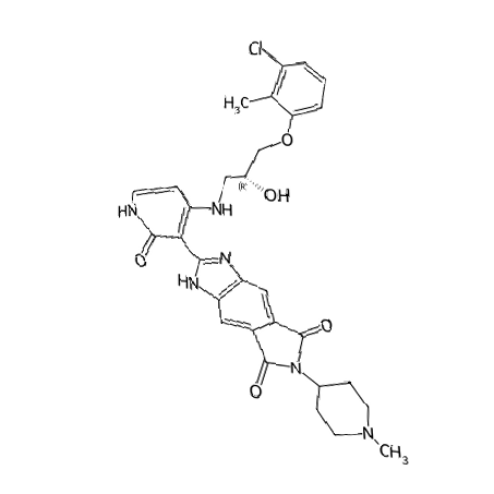 Cc1c(Cl)cccc1OC[C@H](O)CNc1cc[nH]c(=O)c1-c1nc2cc3c(cc2[nH]1)C(=O)N(C1CCN(C)CC1)C3=O